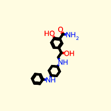 NC(=O)c1cc(C(O)CNC2CCC(Nc3ccccc3)CC2)ccc1O